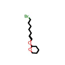 BrCCCCCC=COC1CCCCO1